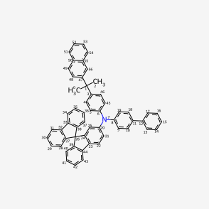 CC(C)(c1ccc(N(c2ccc(-c3ccccc3)cc2)c2ccc3c(c2)C2(c4ccccc4-c4ccccc42)c2ccccc2-3)cc1)c1ccc2ccccc2c1